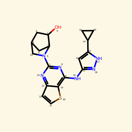 OC1CC2CC1N(c1nc(Nc3cc(C4CC4)[nH]n3)c3sccc3n1)C2